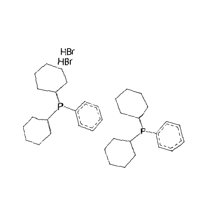 Br.Br.c1ccc(P(C2CCCCC2)C2CCCCC2)cc1.c1ccc(P(C2CCCCC2)C2CCCCC2)cc1